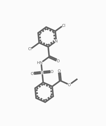 COC(=O)c1ccccc1S(=O)(=O)NC(=O)c1nc(Cl)ccc1Cl